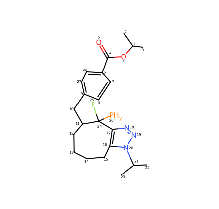 CC(C)OC(=O)c1ccc(CC2CCCCc3c(nnn3C(C)C)C2(F)P)cc1